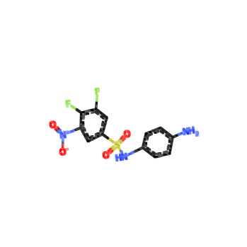 Nc1ccc(NS(=O)(=O)c2cc(F)c(F)c([N+](=O)[O-])c2)cc1